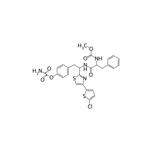 COC(=O)NC(Cc1ccccc1)C(=O)NC(Cc1ccc(OS(N)(=O)=O)cc1)c1nc(-c2ccc(Cl)s2)cs1